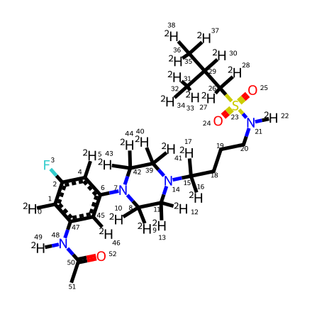 [2H]c1c(F)c([2H])c(N2C([2H])([2H])C([2H])([2H])N(C([2H])([2H])CCCN([2H])S(=O)(=O)C([2H])([2H])C([2H])(C([2H])([2H])[2H])C([2H])([2H])[2H])C([2H])([2H])C2([2H])[2H])c([2H])c1N([2H])C(C)=O